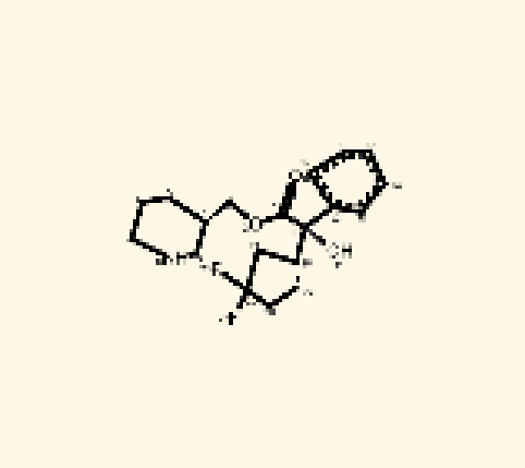 O=C(OC[C@@H]1CCCNC1)[C@](O)(c1ccccc1)[C@@H]1CCC(F)(F)C1